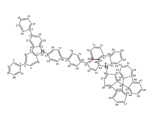 c1ccc(-c2ccc3c(c2)c2cc(-c4ccccc4)ccc2n3-c2ccc(-c3ccc(-c4ccc(N(c5ccc6c(c5)C5(c7ccccc7-c7ccccc75)c5ccccc5-6)c5ccccc5-c5ccccc5)cc4)cc3)cc2)cc1